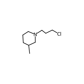 CC1CCCN(CCCCl)C1